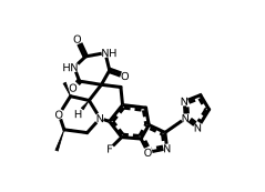 C[C@@H]1CN2c3c(cc4c(-n5nccn5)noc4c3F)CC3(C(=O)NC(=O)NC3=O)[C@H]2[C@H](C)O1